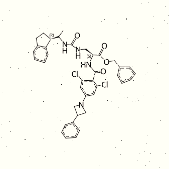 CC(NC(=O)NC[C@H](NC(=O)c1c(Cl)cc(N2CC(c3ccccc3)C2)cc1Cl)C(=O)OCc1ccccc1)[C@@H]1CCc2ccccc21